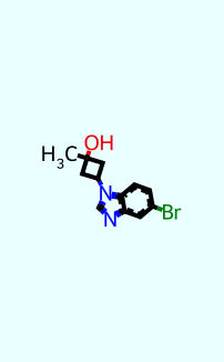 CC1(O)CC(n2cnc3cc(Br)ccc32)C1